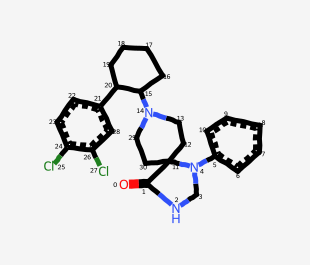 O=C1NCN(c2ccccc2)C12CCN(C1CCCCC1c1ccc(Cl)c(Cl)c1)CC2